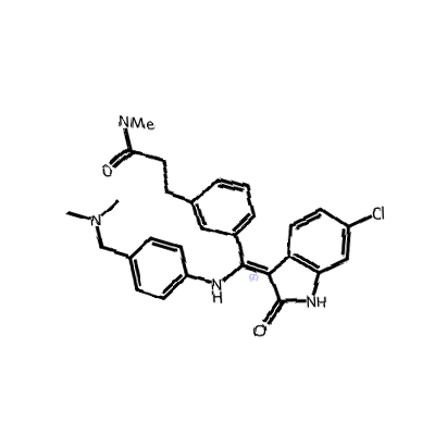 CNC(=O)CCc1cccc(/C(Nc2ccc(CN(C)C)cc2)=C2/C(=O)Nc3cc(Cl)ccc32)c1